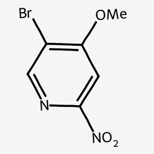 COc1cc([N+](=O)[O-])ncc1Br